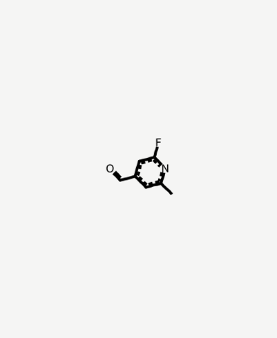 Cc1cc(C=O)cc(F)n1